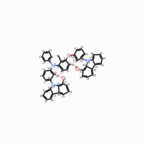 Cc1c2c(cc3c1N(c1ccccc1)c1cccc4c1B3Oc1cccc3c5ccccc5n-4c13)B1Oc3cccc4c5ccccc5n(c34)-c3cccc(c31)O2